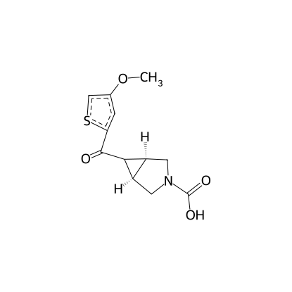 COc1csc(C(=O)C2[C@H]3CN(C(=O)O)C[C@@H]23)c1